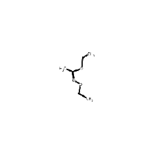 CCOOC(C)OCC